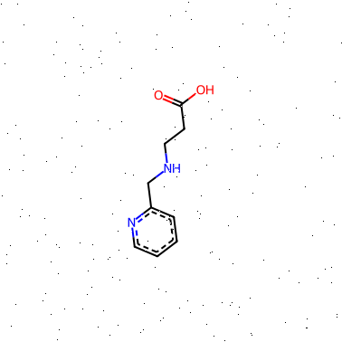 O=C(O)CCNCc1ccccn1